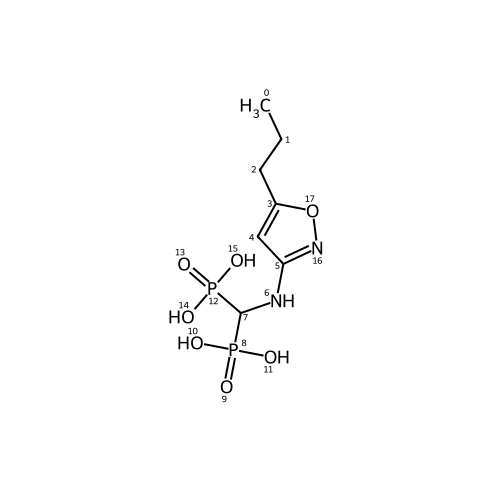 CCCc1cc(NC(P(=O)(O)O)P(=O)(O)O)no1